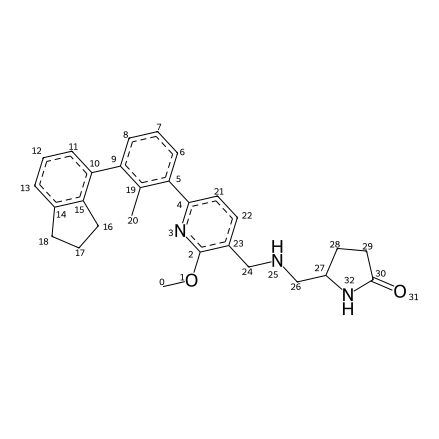 COc1nc(-c2cccc(-c3cccc4c3CCC4)c2C)ccc1CNCC1CCC(=O)N1